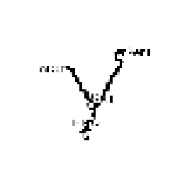 CCCCC/C=C\C/C=C\CCCCCCCC(=O)OCC(COC(=O)NC1CN(CC)C1)OC(=O)CCCCCCC/C=C\CCCCCCCC